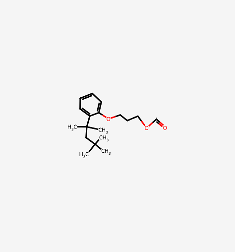 CC(C)(C)CC(C)(C)c1ccccc1OCCCO[C]=O